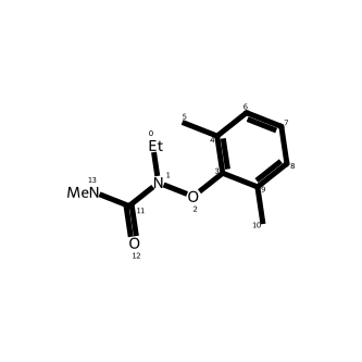 CCN(Oc1c(C)cccc1C)C(=O)NC